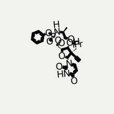 C#C[C@]1(C)[C@H](O)[C@@H](CO[P@](=O)(N[C@@H](C)C(=O)OC(C)C)Oc2ccccc2)O[C@H]1n1ccc(=O)[nH]c1=O